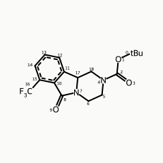 CC(C)(C)OC(=O)N1CCN2C(=O)c3c(cccc3C(F)(F)F)C2C1